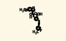 COc1ccc2nccc([C@@H](O)CC[C@@H]3CCN(CC#Cc4ccc(C)c(F)c4)C[C@@H]3C(=O)O)c2c1